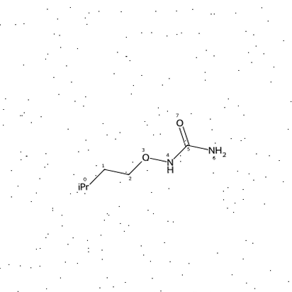 CC(C)CCONC(N)=O